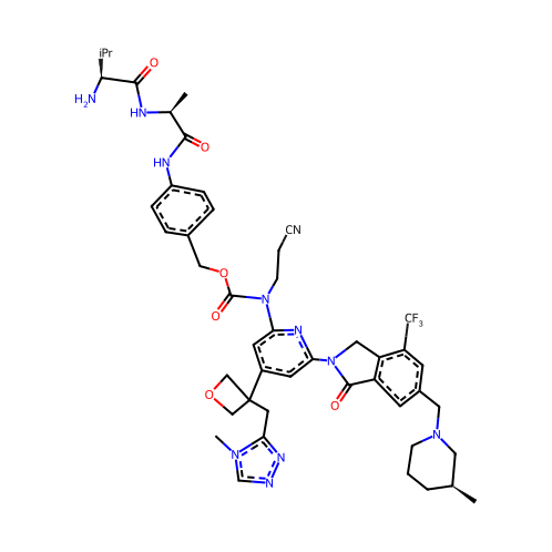 CC(C)[C@H](N)C(=O)N[C@@H](C)C(=O)Nc1ccc(COC(=O)N(CCC#N)c2cc(C3(Cc4nncn4C)COC3)cc(N3Cc4c(cc(CN5CCC[C@H](C)C5)cc4C(F)(F)F)C3=O)n2)cc1